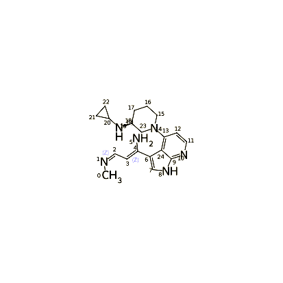 C/N=C\C=C(/N)c1c[nH]c2nccc(N3CCC[C@H](NC4CC4)C3)c12